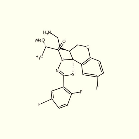 CO[C@@H](C)C(=O)N1N=C(c2cc(F)ccc2F)S[C@]12c1cc(F)ccc1OC[C@@H]2CCN